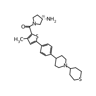 Cc1cc(-c2ccc(C3CCN(C4CCSCC4)CC3)cc2)sc1C(=O)N1CC[C@H](N)C1